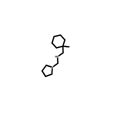 CC1(CNCN2CCCC2)CCCCC1